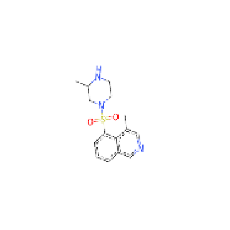 Cc1cncc2cccc(S(=O)(=O)N3CCNC(C)C3)c12